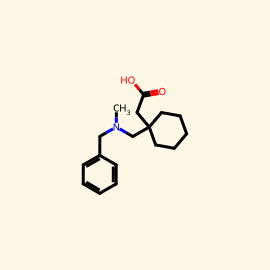 CN(Cc1ccccc1)CC1(CC(=O)O)CCCCC1